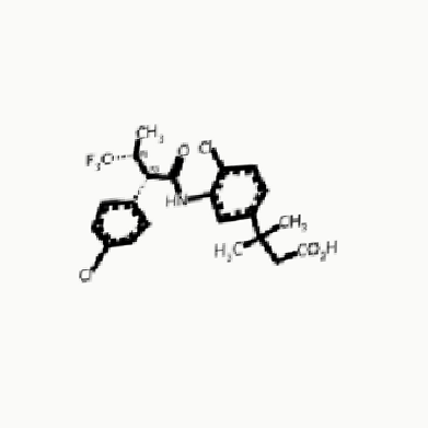 C[C@H]([C@H](C(=O)Nc1cc(C(C)(C)CC(=O)O)ccc1Cl)c1ccc(Cl)cc1)C(F)(F)F